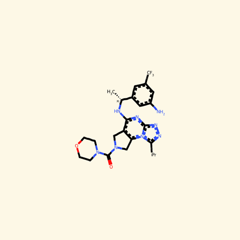 CC(C)c1nnc2nc(N[C@H](C)c3cc(N)cc(C(F)(F)F)c3)c3c(n12)CN(C(=O)N1CCOCC1)C3